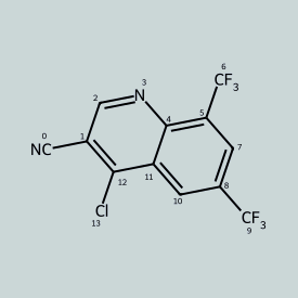 N#Cc1cnc2c(C(F)(F)F)cc(C(F)(F)F)cc2c1Cl